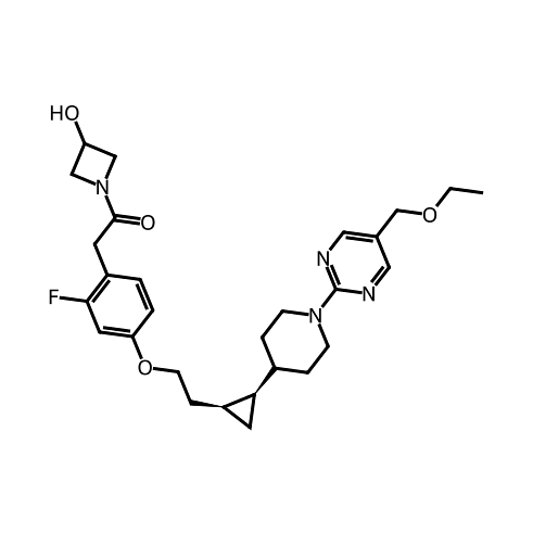 CCOCc1cnc(N2CCC([C@H]3C[C@H]3CCOc3ccc(CC(=O)N4CC(O)C4)c(F)c3)CC2)nc1